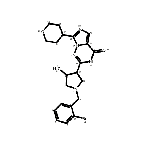 CC1CN(Cc2ccccc2Br)CC1c1nn2c(C3CCOCC3)ncc2c(=O)[nH]1